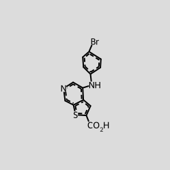 O=C(O)c1cc2c(Nc3ccc(Br)cc3)cncc2s1